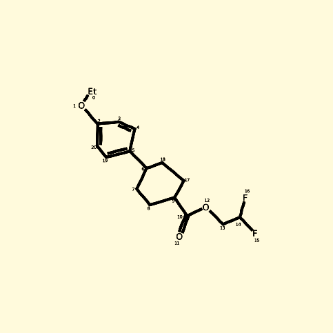 CCOc1ccc(C2CCC(C(=O)OCC(F)F)CC2)cc1